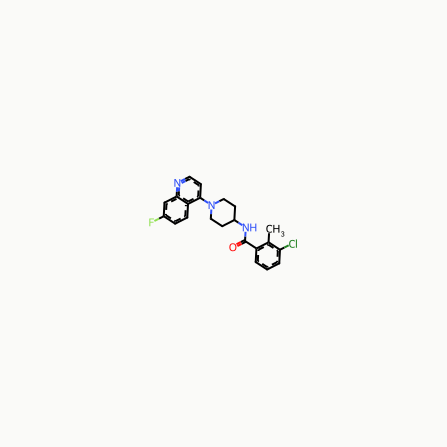 Cc1c(Cl)cccc1C(=O)NC1CCN(c2ccnc3cc(F)ccc23)CC1